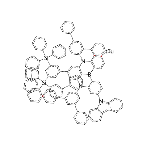 CC(C)(C)c1ccc2c(c1)N(c1ccc(-c3ccccc3)cc1-c1ccccc1)c1cc(-c3cc([Si](c4ccccc4)(c4ccccc4)c4cccc(-c5ccccc5)c4)cc([Si](c4ccccc4)(c4ccccc4)c4cccc(-c5ccccc5)c4)c3)cc3c1B2c1ccc(-n2c4ccccc4c4ccccc42)cc1N3c1cc(-c2ccccc2)cc(-c2ccccc2)c1